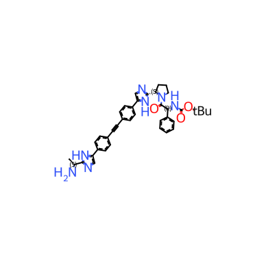 C[C@H](N)c1ncc(-c2ccc(C#Cc3ccc(-c4cnc([C@@H]5CCCN5C(=O)[C@H](NC(=O)OC(C)(C)C)c5ccccc5)[nH]4)cc3)cc2)[nH]1